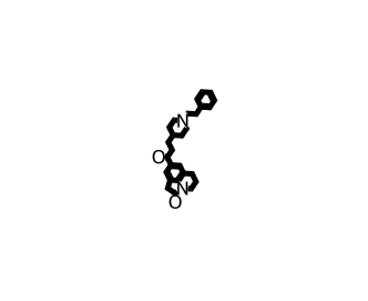 O=C(CCC1CCN(CCc2ccccc2)CC1)c1cc2c3c(c1)CC(=O)N3CCC2